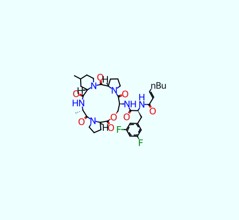 CCCC/C=C/C(=O)N[C@@H](Cc1cc(F)cc(F)c1)C(=O)N[C@H]1COC(=O)[C@@H]2CCCN2C(=O)[C@H](C)NC(=O)[C@@H]2CC(C)CCN2C(=O)[C@@H]2CCCN2C1=O